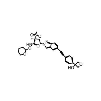 C[C@@](CCn1cc2cc(C#Cc3ccc(C4(O)COC4)cc3)ccc2n1)(C(=O)NOC1CCCCO1)S(C)(=O)=O